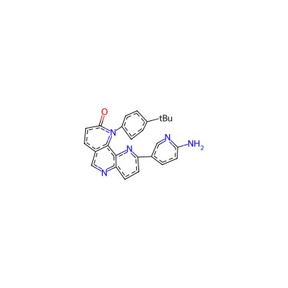 CC(C)(C)c1ccc(-n2c(=O)ccc3cnc4ccc(-c5ccc(N)nc5)nc4c32)cc1